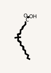 CCCCCC=CCC=CC(C)(C)C=CCC=CCCCC(=O)O